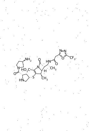 C[C@@H](NC(=O)Cc1nnc(C(F)(F)F)o1)[C@H]1C(=O)N2C(C(=O)O)=C(S[C@@H]3CN[C@H](C(=O)N4CC[C@@H](N)C4)C3)[C@H](C)[C@H]12